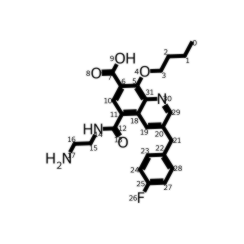 CCCCOc1c(C(=O)O)cc(C(=O)NCCN)c2cc(Cc3ccc(F)cc3)cnc12